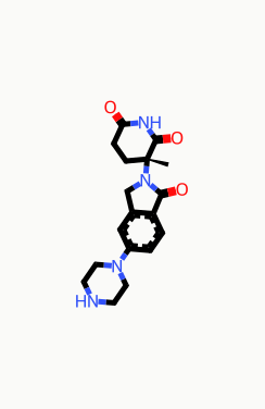 C[C@@]1(N2Cc3cc(N4CCNCC4)ccc3C2=O)CCC(=O)NC1=O